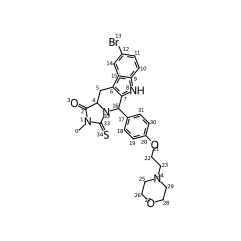 CN1C(=O)C2Cc3c([nH]c4ccc(Br)cc34)C(c3ccc(OCCN4CCOCC4)cc3)N2C1=S